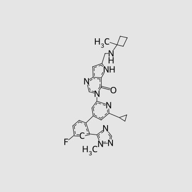 Cn1ncnc1-c1cc(F)ccc1-c1cc(C2CC2)nc(-n2cnc3cc(CNC4(C)CCC4)[nH]c3c2=O)c1